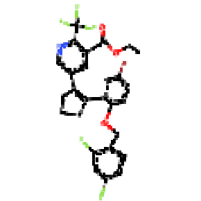 CCOC(=O)c1cc(C2=C(c3cc(Br)ccc3OCc3ccc(F)cc3F)CCC2)cnc1C(F)(F)F